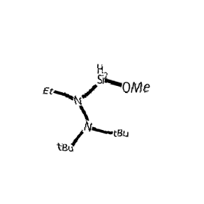 CCN([SiH2]OC)N(C(C)(C)C)C(C)(C)C